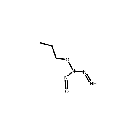 CCCON(N=N)N=O